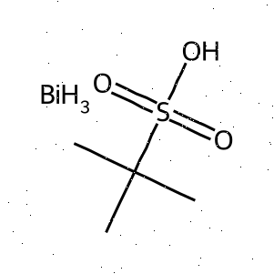 CC(C)(C)S(=O)(=O)O.[BiH3]